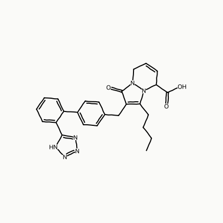 CCCCc1c(Cc2ccc(-c3ccccc3-c3nnn[nH]3)cc2)c(=O)n2n1C(C(=O)O)C=CC2